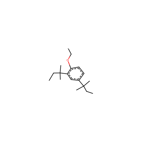 [CH2]COc1ccc(C(C)(C)CC)cc1C(C)(C)CC